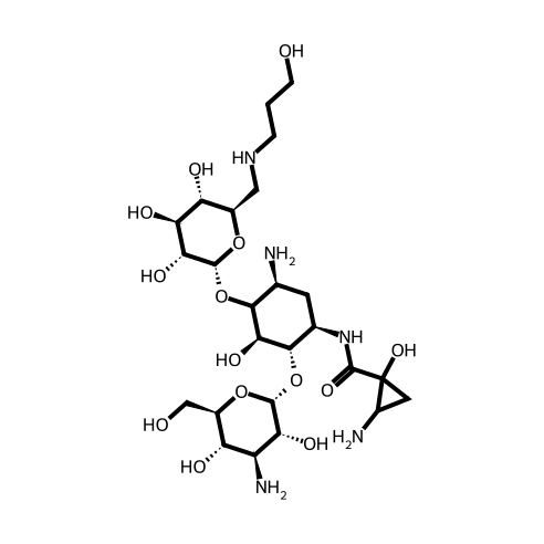 NC1CC1(O)C(=O)N[C@@H]1C[C@H](N)C(O[C@H]2O[C@H](CNCCCO)[C@@H](O)[C@H](O)[C@H]2O)[C@H](O)[C@H]1O[C@H]1O[C@H](CO)[C@@H](O)[C@H](N)[C@H]1O